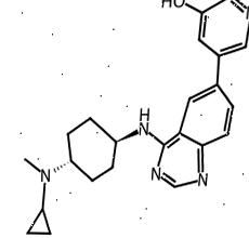 CN(C1CC1)[C@H]1CC[C@H](Nc2ncnc3ccc(-c4cncc(O)c4)cc23)CC1